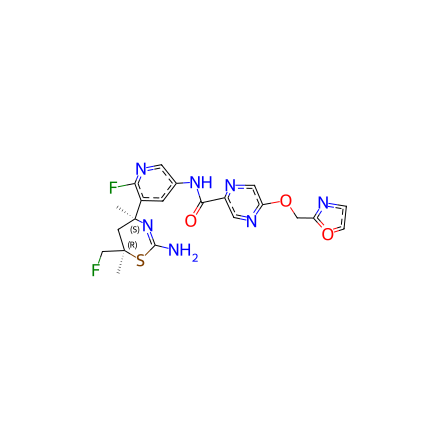 C[C@]1(CF)C[C@@](C)(c2cc(NC(=O)c3cnc(OCc4ncco4)cn3)cnc2F)N=C(N)S1